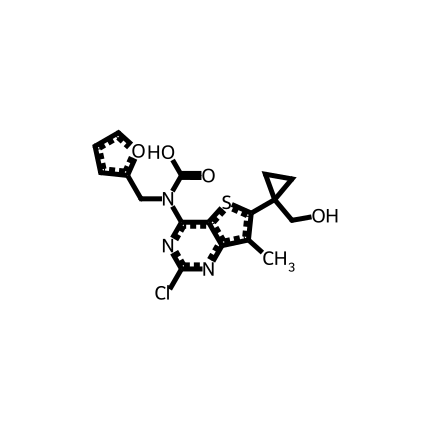 Cc1c(C2(CO)CC2)sc2c(N(Cc3ccco3)C(=O)O)nc(Cl)nc12